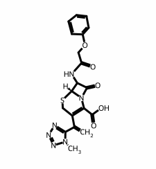 C=C(C1=C(C(=O)O)N2C(=O)C(NC(=O)COc3ccccc3)[C@H]2SC1)c1nnnn1C